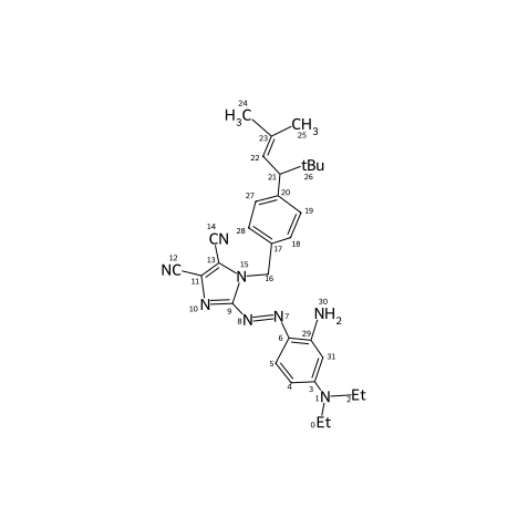 CCN(CC)c1ccc(/N=N/c2nc(C#N)c(C#N)n2Cc2ccc(C(C=C(C)C)C(C)(C)C)cc2)c(N)c1